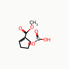 COC(=O)C1=CCCC1.O=[Si](O)O